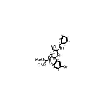 COC(OC)[C@@]1(C)Oc2ccc(Br)cc2[C@@H](NC(=NC#N)NCc2ccccc2)[C@@H]1O